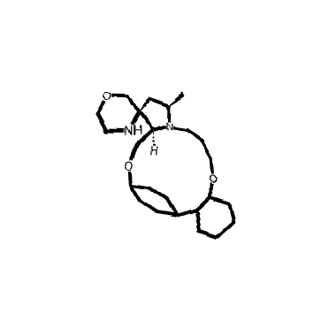 C[C@@H]1C[C@@]2(COCCN2)[C@@H]2COC3CCC(CC3)C3CCCCC3OCCCN12